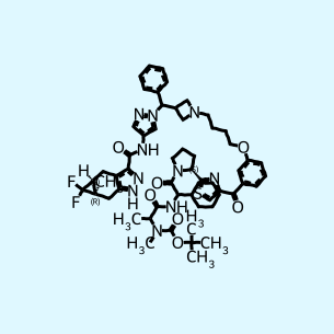 CC(C(=O)NC(C(=O)N1CCC[C@H]1c1nc(C(=O)c2cccc(OCCCCN3CC(C(c4ccccc4)n4cc(NC(=O)c5n[nH]c6c5C[C@@H]5C(F)(F)[C@]5(C)C6)cn4)C3)c2)cs1)C1CCCCC1)N(C)C(=O)OC(C)(C)C